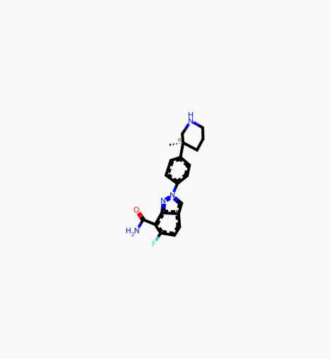 C[C@@]1(c2ccc(-n3cc4ccc(F)c(C(N)=O)c4n3)cc2)CCCNC1